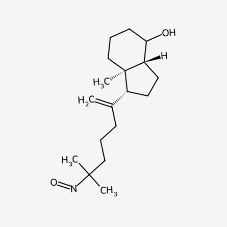 C=C(CCCC(C)(C)N=O)[C@H]1CC[C@H]2C(O)CCC[C@]12C